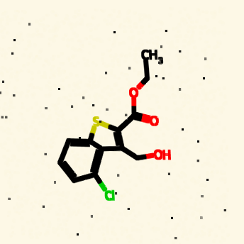 CCOC(=O)c1sc2cccc(Cl)c2c1CO